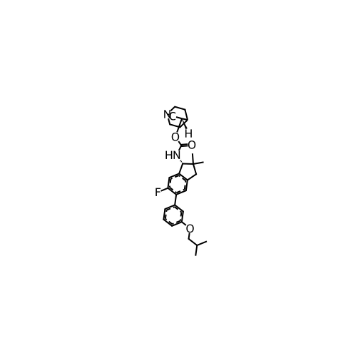 CC(C)COc1cccc(-c2cc3c(cc2F)[C@H](NC(=O)O[C@@H]2CN4CCC2CC4)C(C)(C)C3)c1